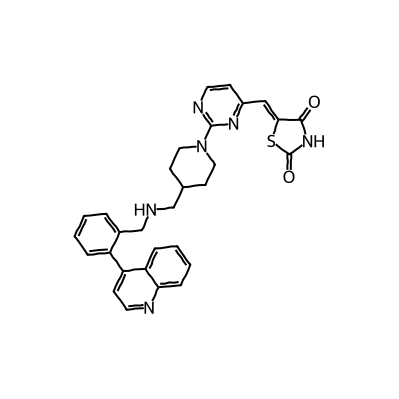 O=C1NC(=O)C(=Cc2ccnc(N3CCC(CNCc4ccccc4-c4ccnc5ccccc45)CC3)n2)S1